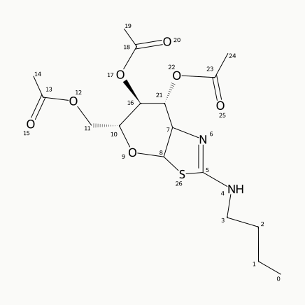 CCCCNC1=NC2C(O[C@H](COC(C)=O)[C@@H](OC(C)=O)[C@@H]2OC(C)=O)S1